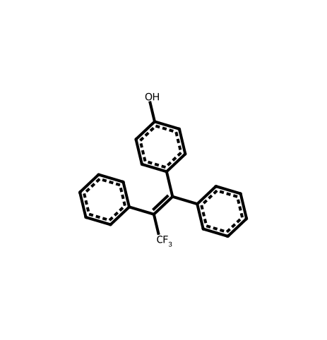 Oc1ccc(/C(=C(\c2ccccc2)C(F)(F)F)c2ccccc2)cc1